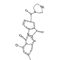 O=C1c2cc(C(=O)N3CCNCC3)ccc2-n2c1nc1cc(Cl)cc(Cl)c1c2=O